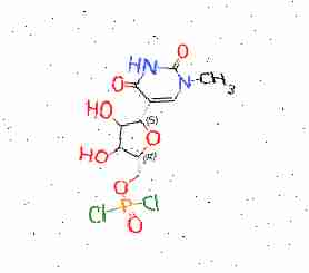 Cn1cc([C@@H]2O[C@H](COP(=O)(Cl)Cl)C(O)C2O)c(=O)[nH]c1=O